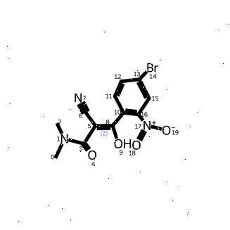 CN(C)C(=O)/C(C#N)=C(\O)c1ccc(Br)cc1[N+](=O)[O-]